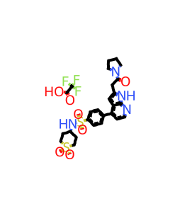 O=C(Cc1cc2c(-c3ccc(S(=O)(=O)NC4CCS(=O)(=O)CC4)cc3)ccnc2[nH]1)N1CCCC1.O=C(O)C(F)(F)F